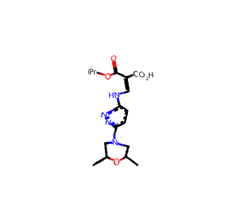 [CH2]C(C)OC(=O)C(=CNc1ccc(N2CC(C)OC(C)C2)nn1)C(=O)O